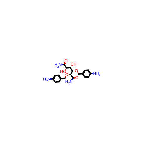 NC(=O)[C@@H](O)[C@H](O)[C@H](OCc1ccc(N)cc1)[C@@H](OCc1ccc(N)cc1)C(N)=O